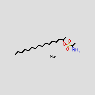 CCCCCCCCCCCCCCC(C)OS(=O)(=O)C(C)N.[Na]